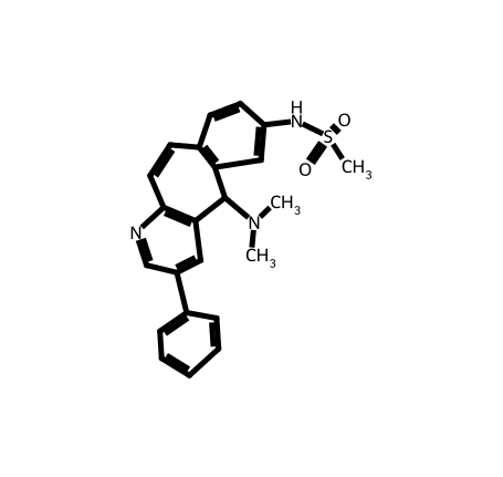 CN(C)C1c2cc(NS(C)(=O)=O)ccc2C=Cc2ncc(-c3ccccc3)cc21